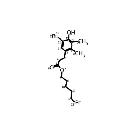 Cc1c(CCC(=O)OCCCCCC(C)C)cc(C(C)(C)C)c(O)c1C